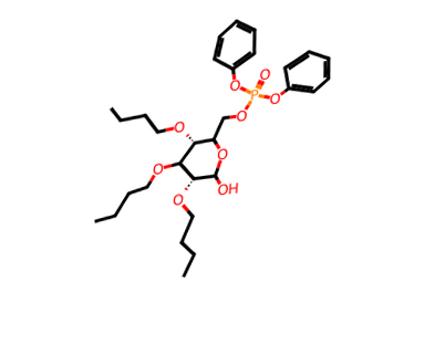 CCCCOC1[C@H](OCCCC)C(COP(=O)(Oc2ccccc2)Oc2ccccc2)OC(O)[C@@H]1OCCCC